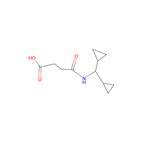 O=C(O)CCC(=O)NC(C1CC1)C1CC1